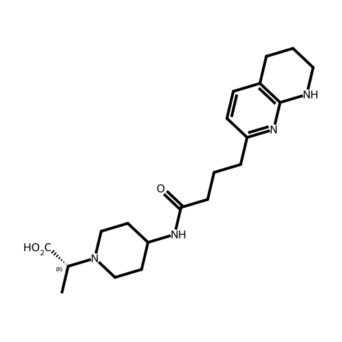 C[C@H](C(=O)O)N1CCC(NC(=O)CCCc2ccc3c(n2)NCCC3)CC1